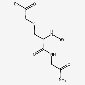 CCC(=O)CSCC(NC(C)C)C(=O)NCC(N)=O